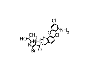 CC(O)c1nc(Br)c(C(=O)NCc2ccc(Cl)c(Oc3cc(N)cc(Cl)c3)c2F)[nH]1